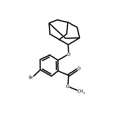 COC(=O)c1cc(Br)ccc1OC1C2CC3CC(C2)CC1C3